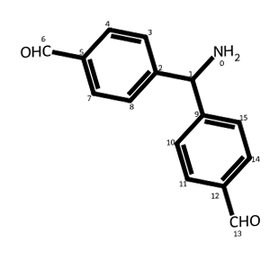 NC(c1ccc(C=O)cc1)c1ccc(C=O)cc1